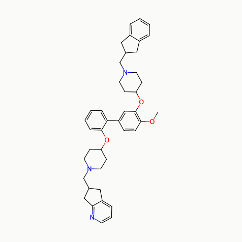 COc1ccc(-c2ccccc2OC2CCN(CC3Cc4cccnc4C3)CC2)cc1OC1CCN(CC2Cc3ccccc3C2)CC1